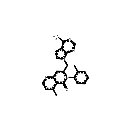 Cc1ccccc1-n1c(Cn2cnc3c(N)ncnc32)cc2nccc(C)c2c1=O